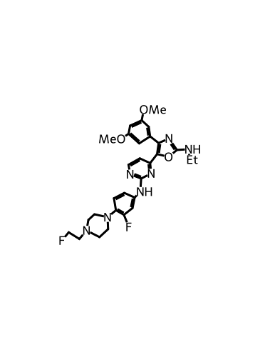 CCNc1nc(-c2cc(OC)cc(OC)c2)c(-c2ccnc(Nc3ccc(N4CCN(CCF)CC4)c(F)c3)n2)o1